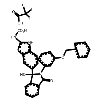 O=C(O)C(F)(F)F.O=C(O)Nc1nc2cc(C3(O)c4ccccc4C(=O)N3c3cccc(OCc4ccccc4)c3)ccc2[nH]1